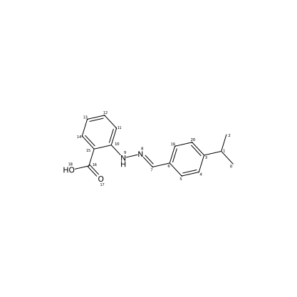 CC(C)c1ccc(C=NNc2ccccc2C(=O)O)cc1